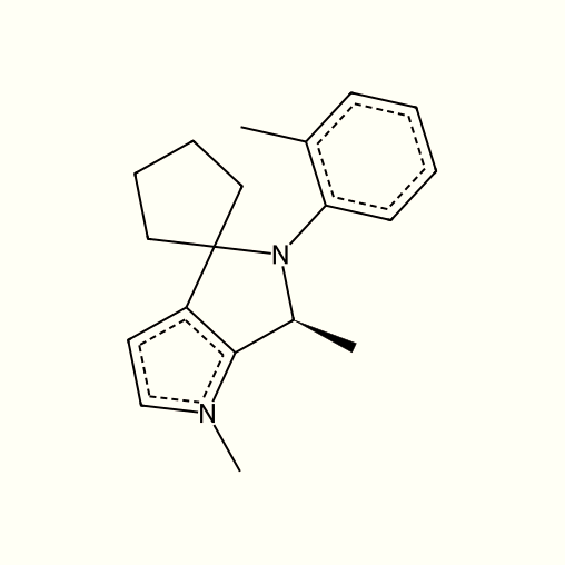 Cc1ccccc1N1[C@@H](C)c2c(ccn2C)C12CCCC2